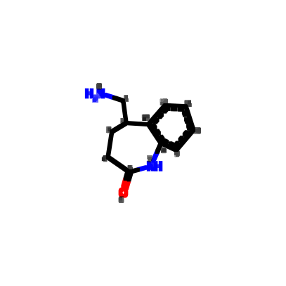 NCC1CCC(=O)Nc2ccccc21